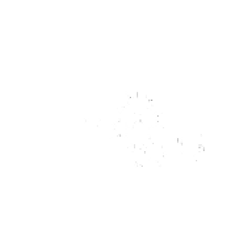 CCOC(=O)c1sc(-n2cnc3ccc(CN4CCNCC4)cc32)cc1O[C@H](C)c1ccccc1C(F)(F)F